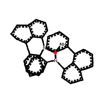 NP1N(c2cccc3cccc(-c4ccccc4)c23)c2ccccc2N1c1cccc2cccc(-c3ccccc3)c12